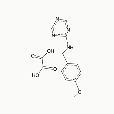 COc1ccc(CNc2ncncn2)cc1.O=C(O)C(=O)O